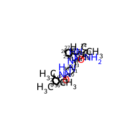 Cc1cc(C)c(NC(=O)N2CCN(Cc3nc(N[C@H](C(N)=O)C(C)C)c4ccccc4n3)CC2)c(C)c1